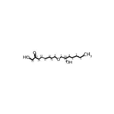 CCCCC[C@H](O)COCCCCCCC(=O)CO